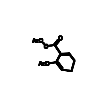 CC(=O)OOC(=O)C1=CCCC=C1OC(C)=O